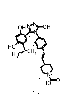 CC(C)c1cc(-c2nnc(O)n2-c2ccc(C=CC3CCN(C(=O)O)CC3)cc2)c(O)cc1O